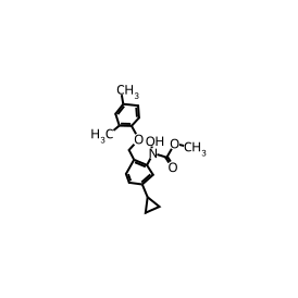 COC(=O)N(O)c1cc(C2CC2)ccc1COc1ccc(C)cc1C